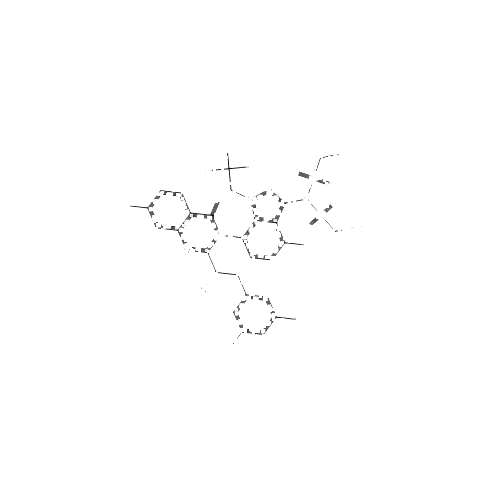 CCS(=O)(=O)N(c1nn(CC(F)(F)F)c2c(-n3c([C@@H](N)Cc4cc(F)cc(F)c4)nc4cc(F)ccc4c3=O)ccc(Cl)c12)S(=O)(=O)CC